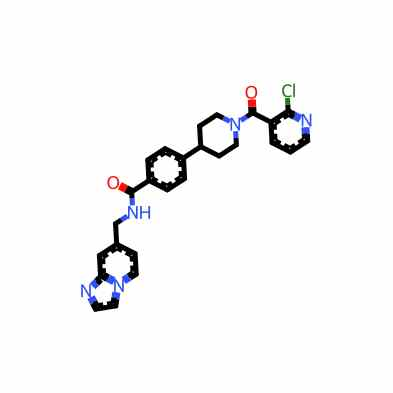 O=C(NCc1ccn2ccnc2c1)c1ccc(C2CCN(C(=O)c3cccnc3Cl)CC2)cc1